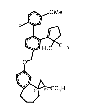 COc1ccc(F)c(-c2ccc(COc3ccc4c(c3)[C@]3(CCCC4)C[C@H]3C(=O)O)cc2C2=CCCC2(C)C)c1